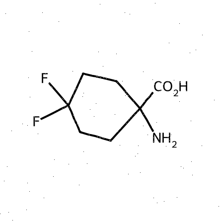 NC1(C(=O)O)CCC(F)(F)CC1